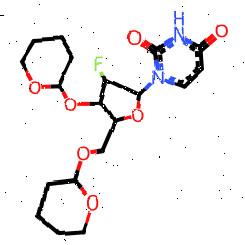 O=c1ccn(C2OC(COC3CCCCO3)C(OC3CCCCO3)C2F)c(=O)[nH]1